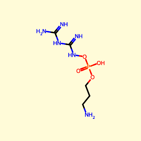 N=C(N)NC(=N)NOP(=O)(O)OCCCN